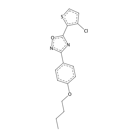 CCCCOc1ccc(-c2noc(-c3sccc3Cl)n2)cc1